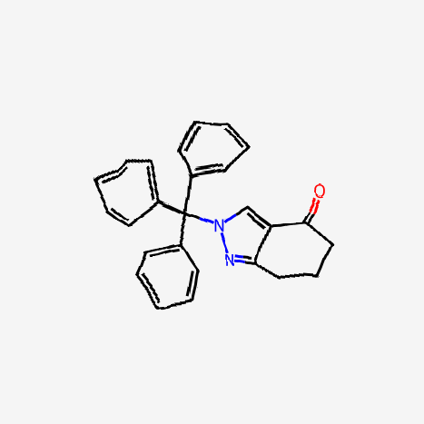 O=C1CCCc2nn(C(c3ccccc3)(c3ccccc3)c3ccccc3)cc21